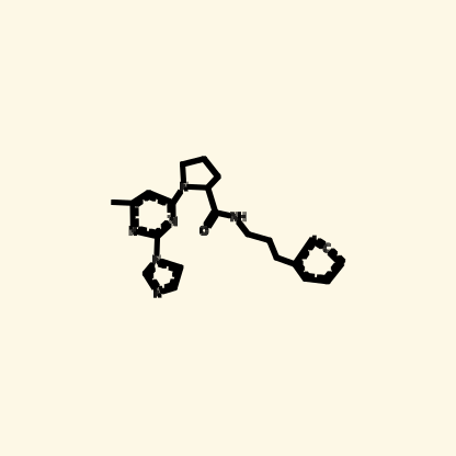 Cc1cc(N2CCCC2C(=O)NCCCc2ccccc2)nc(-n2ccnc2)n1